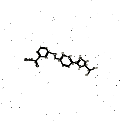 CNC(=O)c1cccc(OCc2ccc(-c3nnc(C(F)F)o3)cn2)c1